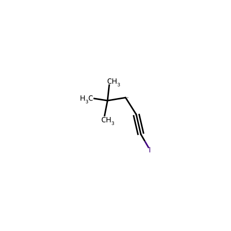 CC(C)(C)[CH]C#CI